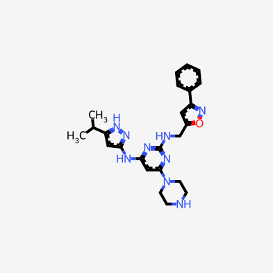 CC(C)c1cc(Nc2cc(N3CCNCC3)nc(NCc3cc(-c4ccccc4)no3)n2)n[nH]1